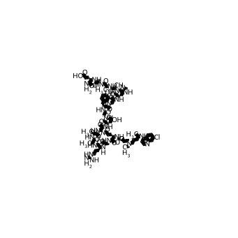 CCN(CCCC(C)Nc1ccnc2cc(Cl)ccc12)CCOC(=O)N[C@@H](CCC(N)=O)C(=O)NCC(=O)N[C@@H](CCCNC(=N)N)C(=O)N[C@@H](C)C(=O)N[C@@H](C)C(=O)NCC(=O)N[C@@H](CC(=O)O)C(=O)NCC(=O)N[C@@H](Cc1ccc(O)cc1)C(=O)NCC(=O)N[C@@H](Cc1cnc[nH]1)C(=O)N[C@@H](C)C(=O)N[C@@H](C)C(=O)NCC(=O)N[C@@H](CCC(=O)O)C(N)=O